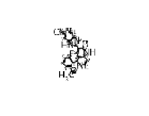 COc1cccc(F)c1-c1nccc2[nH]c(=O)c(-c3nc4cnc(Cl)cc4[nH]3)cc12